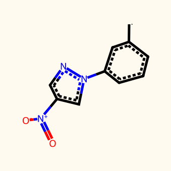 [CH2]c1cccc(-n2cc([N+](=O)[O-])cn2)c1